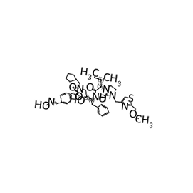 CC[C@H](C)[C@@H](C(=O)N[C@@H](Cc1ccccc1)[C@@H](O)CN(CC1CCCC1)S(=O)(=O)c1ccc(C=NO)cc1)N1CCN(Cc2csc(COC)n2)C1=O